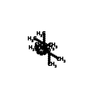 CCCCCCCCCCC(CCCCCCCCCC)CCN1C(=O)c2cc3c(cc2=C1c1ccc(-c2ccc(-c4ccc(-c5ccc(C(C)(C)CCC)s5)s4)s2)s1)C(=O)N(CCC(CCCCCCCCCC)CCCCCCCCCC)C=3C(C)(C)CCCC